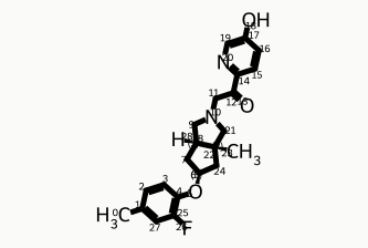 Cc1ccc(O[C@H]2C[C@@H]3CN(CC(=O)c4ccc(O)cn4)C[C@]3(C)C2)c(F)c1